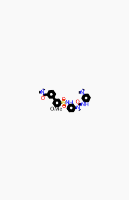 COc1ccc(-c2cccc(C(=O)N(C)C)c2)cc1S(=O)(=O)Nc1cccc(N(C)C(=O)Nc2cccc(N(C)C)c2)c1